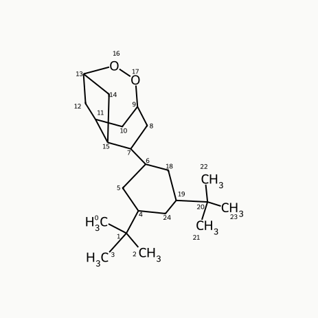 CC(C)(C)C1CC(C2CC3CC4CC(CC42)OO3)CC(C(C)(C)C)C1